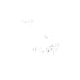 CN1C(C)(C)CC(C(CCCCCCCC(=O)O)C(=O)O)CC1(C)C